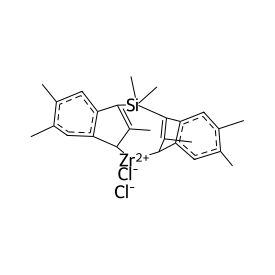 CC1=C2c3cc(C)c(C)cc3[CH]1[Zr+2][CH]1C(C)=C(c3cc(C)c(C)cc31)[Si]2(C)C.[Cl-].[Cl-]